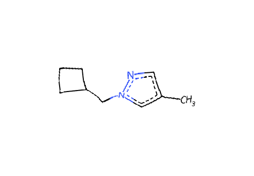 Cc1cnn(CC2CCC2)c1